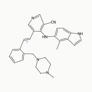 Cc1c(Nc2c(C#N)cncc2/C=C/c2ccccc2CN2CCN(C)CC2)ccc2[nH]ccc12